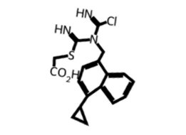 N=C(Cl)N(Cc1ccc(C2CC2)c2ccccc12)C(=N)SCC(=O)O